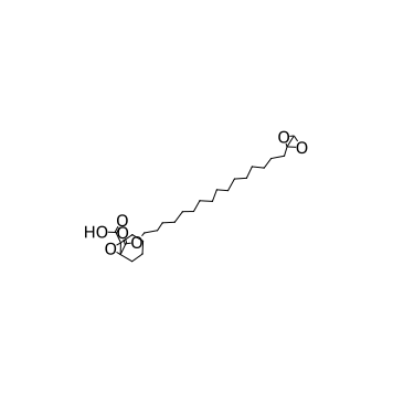 O=C(O)C12CCCCC1(C(=O)OCCCCCCCCCCCCCCCCC13OC1O3)O2